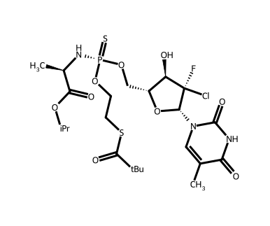 Cc1cn([C@@H]2O[C@H](CO[P@@](=S)(N[C@H](C)C(=O)OC(C)C)OCCSC(=O)C(C)(C)C)[C@@H](O)[C@@]2(F)Cl)c(=O)[nH]c1=O